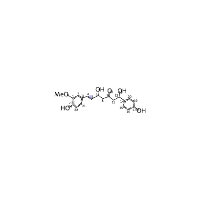 COc1cc(/C=C/C(O)CC(=O)CC(O)c2ccc(O)cc2)ccc1O